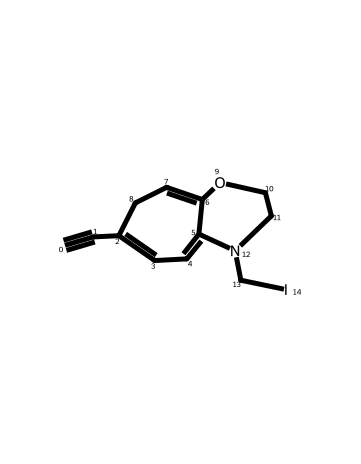 C#CC1=CC=C2C(=CC1)OCCN2CI